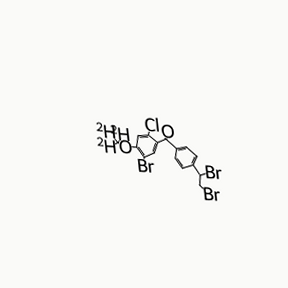 [2H]C([2H])([2H])Oc1cc(Cl)c(C(=O)c2ccc(C(Br)CBr)cc2)cc1Br